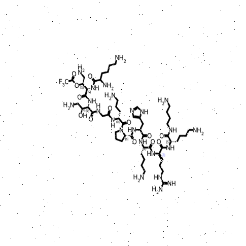 N=C(N)NCC/C=C(\NC(=O)[C@H](CCCCN)NC(=O)C(Cc1cnc[nH]1)NC(=O)[C@@H]1CCCN1C(=O)[C@@H](CCCN)NC(=O)CNC(=O)[C@@H](NC(=O)[C@@H](NC(=O)C(N)CCCCN)[C@H](CN)OC(=O)C(F)(F)F)[C@@H](O)CN)C(=O)N[C@@H](CCCCN)C(=O)NCCCCN